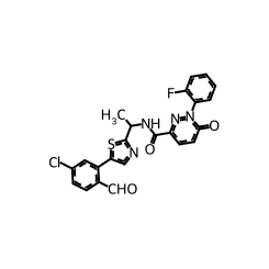 CC(NC(=O)c1ccc(=O)n(-c2ccccc2F)n1)c1ncc(-c2cc(Cl)ccc2C=O)s1